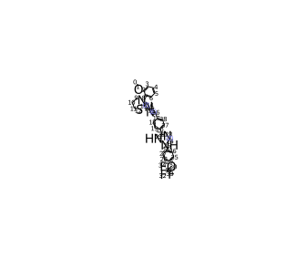 COc1ccccc1N1CCCS/C1=N\N=C\c1ccc(C(=N)/N=C\Nc2ccc(OC(F)(F)F)cc2)cc1